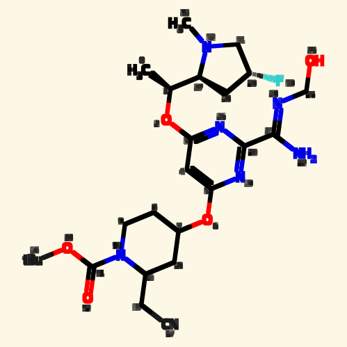 C[C@H](Oc1cc(OC2CCN(C(=O)OC(C)(C)C)C(CC#N)C2)nc(C(N)=NCO)n1)[C@@H]1C[C@@H](F)CN1C